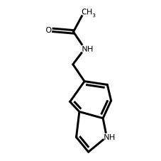 CC(=O)NCc1ccc2[nH]ccc2c1